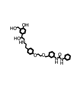 O=C(Nc1ccccc1)Nc1cccc(COCCOc2ccc(CCNC[C@@H](O)c3ccc(O)c(CO)c3)cc2)c1